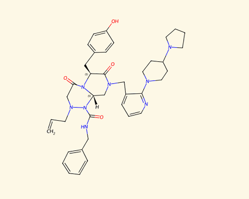 C=CCN1CC(=O)N2[C@@H](Cc3ccc(O)cc3)C(=O)N(Cc3cccnc3N3CCC(N4CCCC4)CC3)C[C@@H]2N1C(=O)NCc1ccccc1